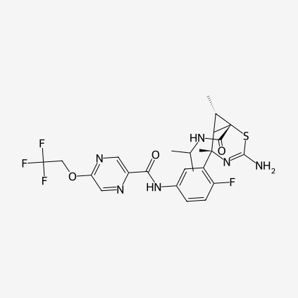 CC(C)NC(=O)[C@@]12SC(N)=N[C@](C)(c3cc(NC(=O)c4cnc(OCC(F)(F)F)cn4)ccc3F)C1[C@@H]2C